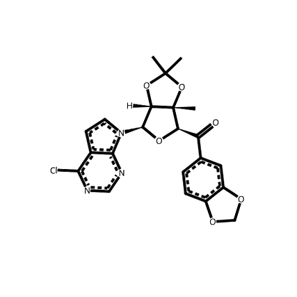 CC1(C)O[C@H]2[C@H](n3ccc4c(Cl)ncnc43)O[C@H](C(=O)c3ccc4c(c3)OCO4)[C@@]2(C)O1